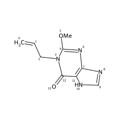 C=CCn1c(OC)nc2nc[nH]c2c1=O